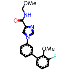 COCNC(=O)c1cn(-c2cccc(-c3cccc(F)c3OC)c2)cn1